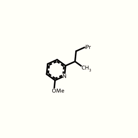 COc1cccc(C(C)CC(C)C)n1